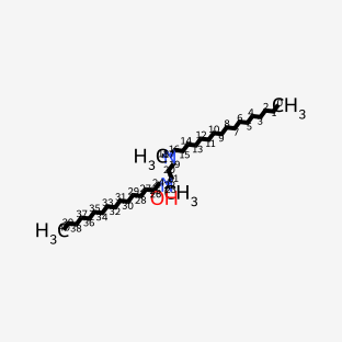 CCCCCCCCCCCCCCCCCN(C)CCCN(C)CC(O)CCCCCCCCCCCCCC